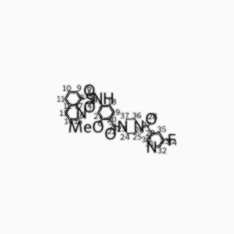 COc1cc(NS(=O)(=O)c2cccc3cccnc23)ccc1C(=O)N1CCN(C(=O)c2cncc(F)c2)CC1